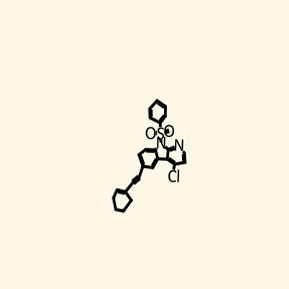 O=S(=O)(c1ccccc1)n1c2ccc(C#CC3=CCCCC3)cc2c2c(Cl)ccnc21